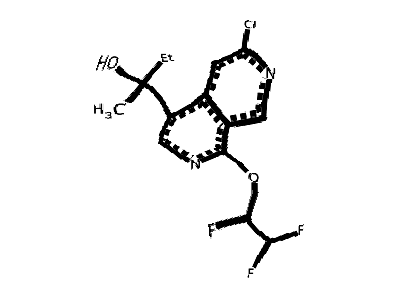 CCC(C)(O)c1cnc(OC(F)C(F)F)c2cnc(Cl)cc12